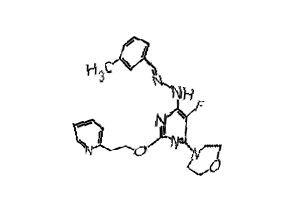 Cc1cccc(C=NNc2nc(OCCc3ccccn3)nc(N3CCOCC3)c2F)c1